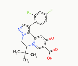 CC(C)(C)C1Cn2ncc(-c3ccc(F)cc3F)c2-c2cc(=O)c(C(=O)O)cn21